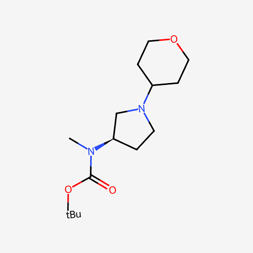 CN(C(=O)OC(C)(C)C)[C@@H]1CCN(C2CCOCC2)C1